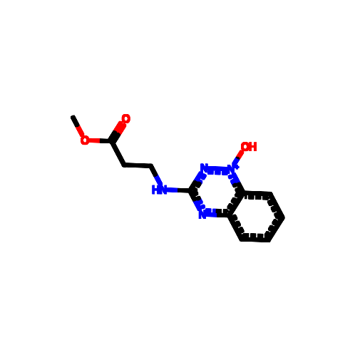 COC(=O)CCNc1nc2ccccc2[n+](O)n1